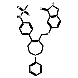 CS(=O)(=O)Nc1ccc(C2=C(COc3ccc4c(c3)C(=O)NC4)CCN(c3ccccc3)CC2)cc1